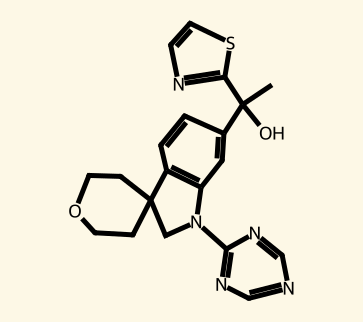 CC(O)(c1ccc2c(c1)N(c1ncncn1)CC21CCOCC1)c1nccs1